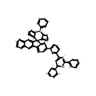 C1=C(c2cccc(-c3ccc4c(c3)C3(c5cc6ccccc6cc5-4)c4ccccc4N(c4ccccc4)c4ccccc43)c2)N=C(c2ccccc2)NC1c1ccccc1